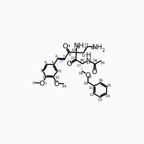 COc1ccc(/C=C/C(=O)C(N)(CCN)C(=O)[C@@H](COCc2ccccc2)NC(C)=O)cc1OC